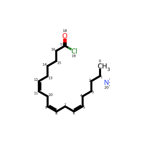 CCCCC/C=C\C/C=C\C/C=C\CCCCC(=O)Cl.[N]